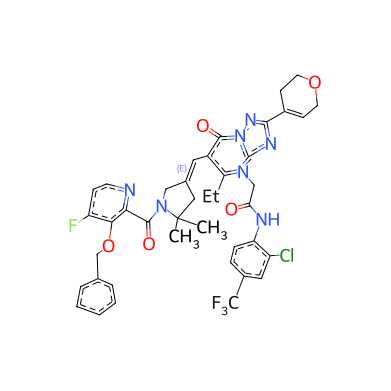 CCc1c(/C=C2/CN(C(=O)c3nccc(F)c3OCc3ccccc3)C(C)(C)C2)c(=O)n2nc(C3=CCOCC3)nc2n1CC(=O)Nc1ccc(C(F)(F)F)cc1Cl